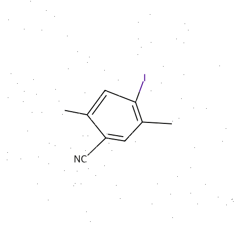 Cc1cc(C#N)c(C)cc1I